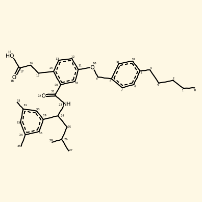 CCCCCc1ccc(COc2ccc(CCC(=O)O)c(C(=O)NC(CC(C)C)c3cc(C)cc(C)c3)c2)cc1